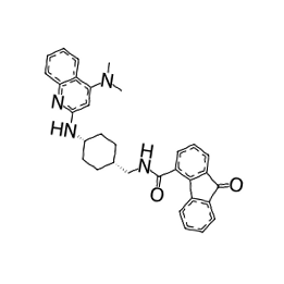 CN(C)c1cc(N[C@H]2CC[C@@H](CNC(=O)c3cccc4c3-c3ccccc3C4=O)CC2)nc2ccccc12